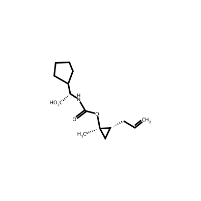 C=CC[C@@H]1C[C@@]1(C)OC(=O)N[C@H](C(=O)O)C1CCCC1